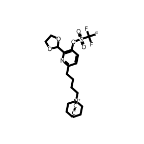 O=S(=O)(Oc1ccc(CCCC[N+]23CCC(CC2)CC3)nc1C1OCCO1)C(F)(F)F